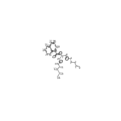 CCCCCOCC(COCCCCC)OC(=O)c1cccc2ccccc12